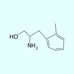 Cc1ccccc1CC(N)CO